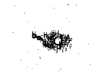 CC[C@H]1OC(=O)[C@H](C)[C@@H](C2C[C@@](C)(OC)[C@@H](O)[C@H](C)O2)[C@H](C)[C@@H](O[C@@H]2O[C@H](C)C[C@H](N(C)CCc3cn(CCCC(F)(F)c4ccc(-c5cccnc5)cc4)nn3)[C@H]2O)[C@](C)(O)C[C@@H](C)CN(C)[C@H](C)[C@@H](O)[C@]1(C)O